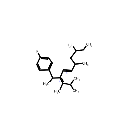 CCC(C)CC(C)/C=C/C(=C(/C)C(C)C)C(C)c1ccc(F)cc1